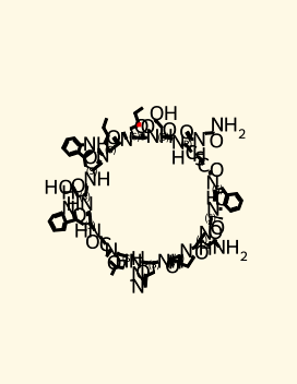 CCCC[C@H]1C(=O)N(C)[C@@H](CCCC)C(=O)N[C@@H](CC(=O)O)C(=O)N[C@H](C(=O)NCC(N)=O)CSCC(=O)N[C@@H](Cc2ccccc2)C(=O)N(C)[C@@H](C)C(=O)N[C@@H](CC(N)=O)C(=O)N2CCC[C@H]2C(=O)N[C@@H](Cc2cnc[nH]2)C(=O)N[C@@H](CC(C)C)C(=O)N(C)CC(=O)N[C@@H](Cc2c[nH]c3ccccc23)C(=O)N[C@@H](CCO)C(=O)N[C@@H](Cc2c[nH]c3ccccc23)C(=O)N1C